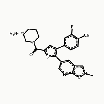 Cn1cc2cc(-c3sc(C(=O)N4CCC[C@@H](N)C4)cc3-c3ccc(C#N)c(F)c3)cnc2n1